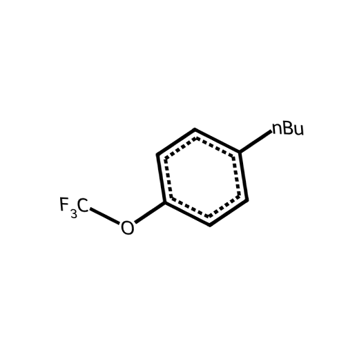 C[CH]CCc1ccc(OC(F)(F)F)cc1